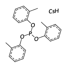 Cc1ccccc1OP(Oc1ccccc1C)Oc1ccccc1C.[CsH]